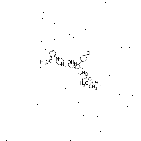 COc1ccccc1N1CCN(CC(O)Cn2nc(-c3ccc(Cl)cc3)c3c2CCN(OC(=O)OC(C)(C)C)C3)CC1